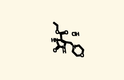 CCOC(=O)c1[nH]c(=O)[nH]c1CN1CCOCC1.Cl